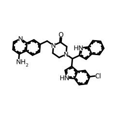 Nc1ccnc2cc(CN3CCN(C(c4cc5ccccc5[nH]4)c4c[nH]c5ccc(Cl)cc45)CC3=O)ccc12